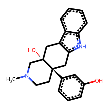 CN1CC[C@@]2(c3cccc(O)c3)Cc3[nH]c4ccccc4c3C[C@]2(O)C1